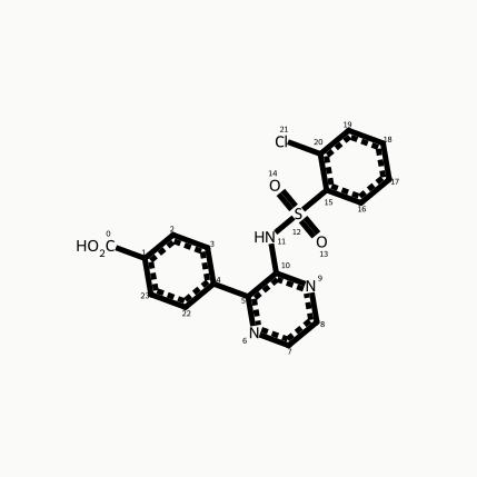 O=C(O)c1ccc(-c2nccnc2NS(=O)(=O)c2ccccc2Cl)cc1